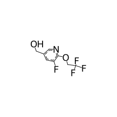 OCc1cnc(OCC(F)(F)F)c(F)c1